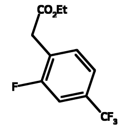 CCOC(=O)Cc1ccc(C(F)(F)F)cc1F